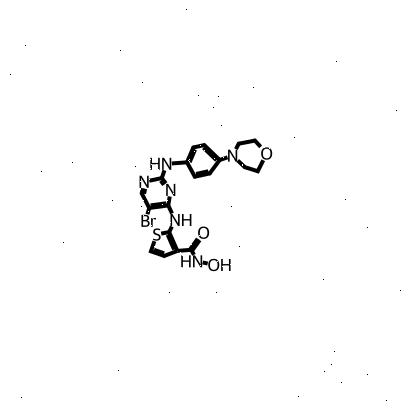 O=C(NO)c1ccsc1Nc1nc(Nc2ccc(N3CCOCC3)cc2)ncc1Br